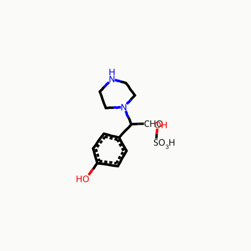 O=CC(c1ccc(O)cc1)N1CCNCC1.O=S(=O)(O)O